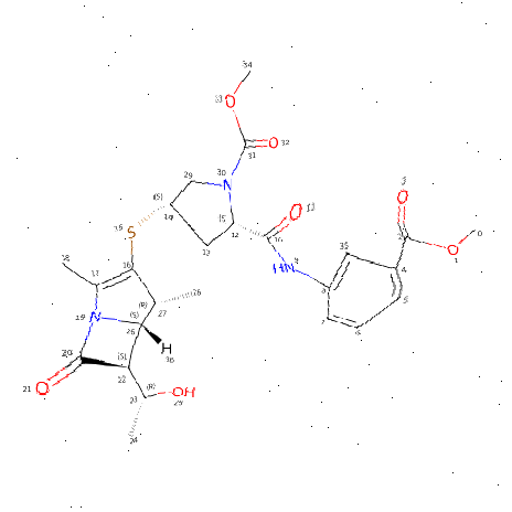 COC(=O)c1cccc(NC(=O)[C@@H]2C[C@H](SC3=C(C)N4C(=O)[C@H]([C@@H](C)O)[C@H]4[C@H]3C)CN2C(=O)OC)c1